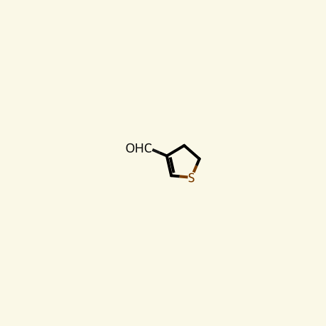 O=CC1=CSCC1